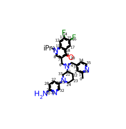 Cc1cc(CN(Cc2cn(C(C)C)c3cc(F)c(F)cc3c2=O)[C@H]2CCCN(c3ccc(N)nc3)C2)ccn1